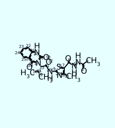 CC(=O)NNC(=O)c1sc(NC(=O)[C@H](C(C)C)n2c(=O)[nH]c3ccccc3c2=O)nc1C